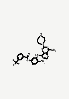 Cc1ccc(NC(=O)c2cccc(C(F)(F)F)c2)cc1Nc1ncnc2c(N)nc(N3CCCNCC3)nc12